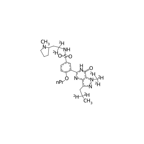 [2H]C([2H])(C)Cc1nn(C([2H])([2H])[2H])c2c(=O)[nH]c(-c3cc(S(=O)(=O)NC([2H])([2H])CC4CCCN4C)ccc3OCCC)nc12